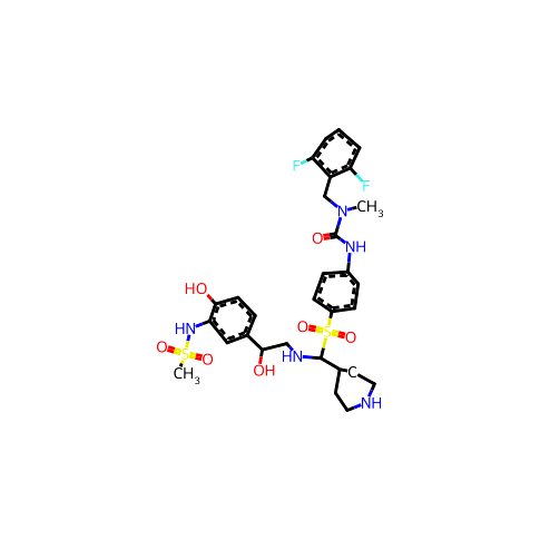 CN(Cc1c(F)cccc1F)C(=O)Nc1ccc(S(=O)(=O)C(NCC(O)c2ccc(O)c(NS(C)(=O)=O)c2)C2CCNCC2)cc1